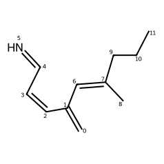 C=C(/C=C\C=N)/C=C(\C)CCC